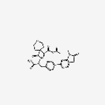 C=C(C)OC(=O)NC1(C(=O)N[C@@H](Cc2ccc(-c3ccc4c(c3)N(C)C(=O)C4)cc2)C(N)=O)CCOCC1